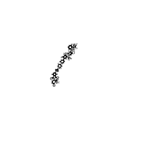 Cc1cc(Nc2ncc(Cl)c(Nc3ccccc3S(=O)(=O)C(C)C)n2)c(OC(C)C)cc1C1CCN(C2CCN(C3CN(c4ccc5c(c4)C(=O)N(C4CCC(=O)NC4=O)C5=O)C3)CC2)CC1